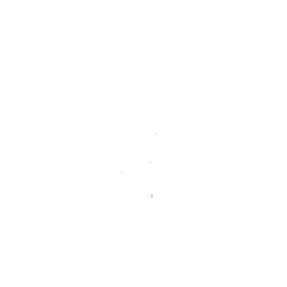 Fc1cc(Cl)cc2ccn(-c3ccnc(Nc4ccccc4)n3)c12